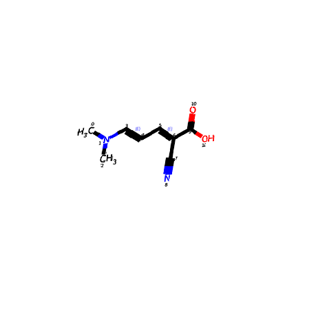 CN(C)/C=C/C=C(\C#N)C(=O)O